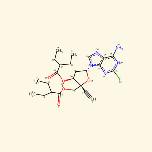 C#C[C@]1(COC(=O)C(CC)CC)O[C@@H](n2cnc3c(N)nc(F)nc32)C[C@@H]1OC(=O)C(CC)CC